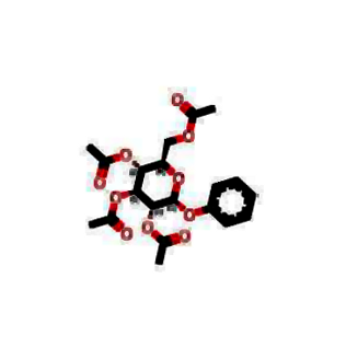 CC(=O)OC[C@H]1O[C@@H](Oc2cc[c]cc2)[C@H](OC(C)=O)[C@@H](OC(C)=O)[C@@H]1OC(C)=O